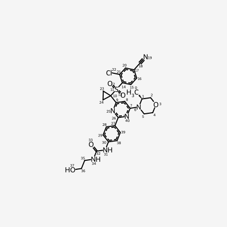 C[C@H]1COCCN1c1cc(C2(S(=O)(=O)c3ccc(C#N)cc3Cl)CC2)nc(-c2ccc(NC(=O)NCCO)cc2)n1